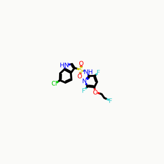 O=S(=O)(Nc1nc(F)c(OCCF)cc1F)c1c[nH]c2cc(Cl)ccc12